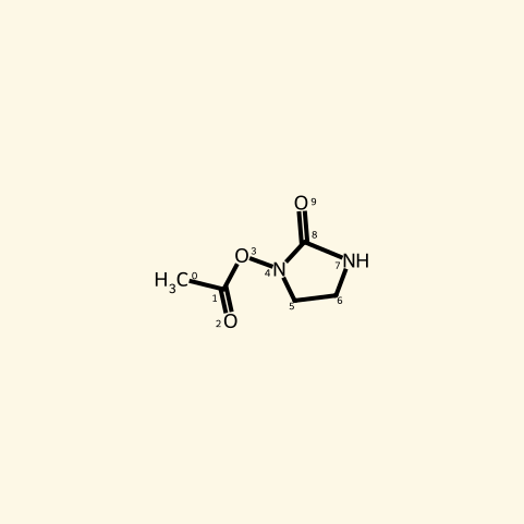 CC(=O)ON1CCNC1=O